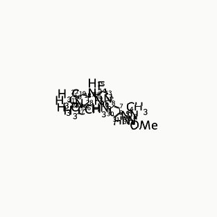 CON1N=C(C)N(c2ccc(Nc3ncc(F)c(NC4CC(C)(C)N(C)C(C)(C)C4)n3)cc2)N1